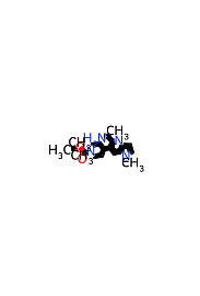 C[C@H](N)c1nc2ccn(C)c2cc1C1CCN(C(=O)OC(C)(C)C)CC1